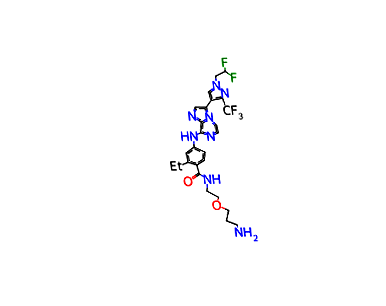 CCc1cc(Nc2nccn3c(-c4cn(CC(F)F)nc4C(F)(F)F)cnc23)ccc1C(=O)NCCOCCCN